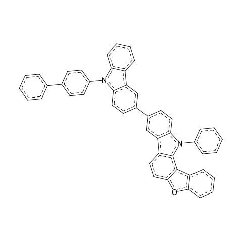 c1ccc(-c2ccc(-n3c4ccccc4c4cc(-c5ccc6c(c5)c5ccc7oc8ccccc8c7c5n6-c5ccccc5)ccc43)cc2)cc1